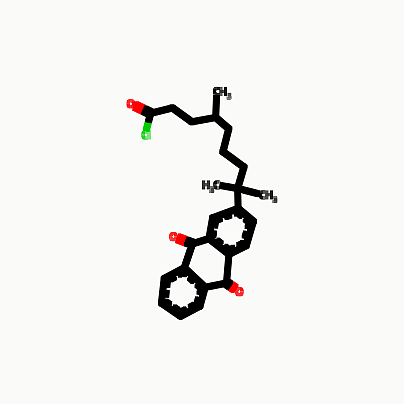 CC(CCCC(C)(C)c1ccc2c(c1)C(=O)c1ccccc1C2=O)CCC(=O)Cl